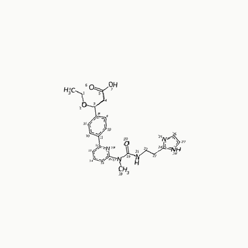 CCO[C@@H](CC(=O)O)c1ccc(-c2cccc(N(C)C(=O)NCCc3ncc[nH]3)n2)cc1